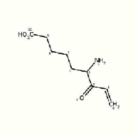 C=CC(=O)C(N)CCCCC(=O)O